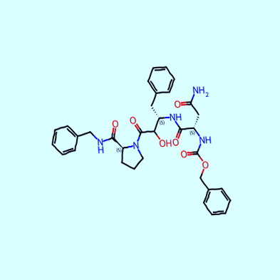 NC(=O)C[C@H](NC(=O)OCc1ccccc1)C(=O)N[C@@H](Cc1ccccc1)C(O)C(=O)N1CCC[C@H]1C(=O)NCc1ccccc1